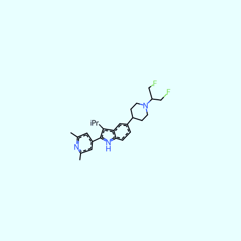 Cc1cc(-c2[nH]c3ccc(C4CCN(C(CF)CF)CC4)cc3c2C(C)C)cc(C)n1